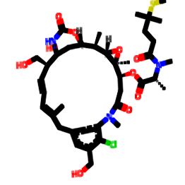 CSC(C)(C)CCC(=O)N(C)[C@H](C)C(=O)O[C@H]1CC(=O)N(C)c2cc(cc(CO)c2Cl)C/C(C)=C/C=C/[C@@H](CO)[C@@]2(O)C[C@H](OC(=O)N2)[C@@H](C)[C@@H]2O[C@@]12C